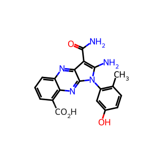 Cc1ccc(O)cc1-n1c(N)c(C(N)=O)c2nc3cccc(C(=O)O)c3nc21